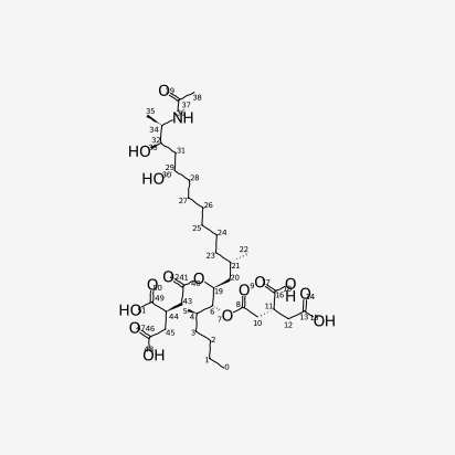 CCCC[C@@H](C)[C@@H](OC(=O)C[C@@H](CC(=O)O)C(=O)O)[C@H](C[C@@H](C)CCCCCC[C@H](O)C[C@@H](O)[C@@H](C)NC(C)=O)OC(=O)C[C@@H](CC(=O)O)C(=O)O